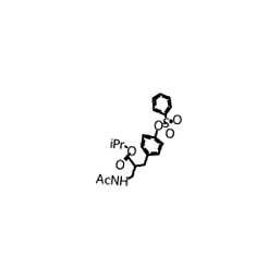 CC(=O)NCC(Cc1ccc(OS(=O)(=O)c2ccccc2)cc1)C(=O)OC(C)C